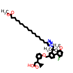 COC(=O)CCCCCCCCCCCCCCCCCc1cn(CC(C)(C)c2cc(COc3cccc(C(CC(=O)O)C4CC4)c3)ccc2-c2cc(OC)ccc2F)nn1